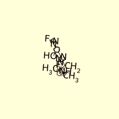 C=C(c1cnc(-c2ccc(-n3cc(F)cn3)cc2O)nn1)C1C[C@]2(C)CC[C@@](C)(N2)[C@H]1F